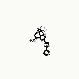 CS(=O)(=O)N1CC/C(=N\O)c2nc(-c3cnc(-c4cccnc4)s3)cnc21